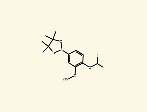 CCCOc1cc(B2OC(C)(C)C(C)(C)O2)ccc1OC(F)F